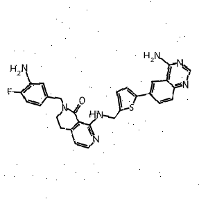 Nc1cc(CN2CCc3ccnc(NCc4ccc(-c5ccc6ncnc(N)c6c5)s4)c3C2=O)ccc1F